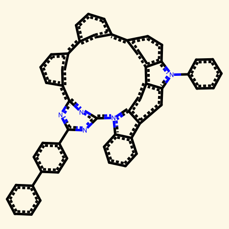 c1ccc(-c2ccc(-c3nc4nc(n3)n3c5ccccc5c5cc6c(cc53)c3cc(ccc3n6-c3ccccc3)c3cccc(c3)c3cccc4c3)cc2)cc1